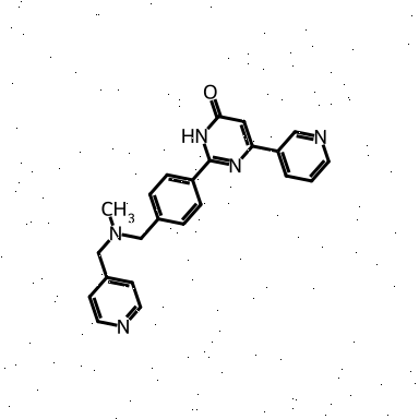 CN(Cc1ccncc1)Cc1ccc(-c2nc(-c3cccnc3)cc(=O)[nH]2)cc1